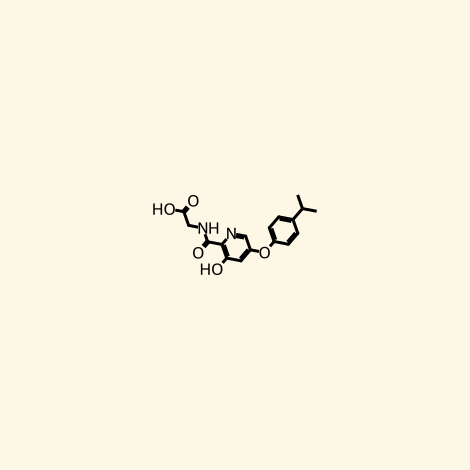 CC(C)c1ccc(Oc2cnc(C(=O)NCC(=O)O)c(O)c2)cc1